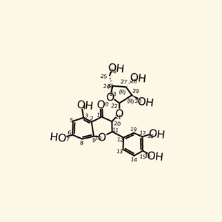 O=C1c2c(O)cc(O)cc2OC(c2ccc(O)c(O)c2)C1OC1O[C@H](CO)[C@H](O)[C@H]1O